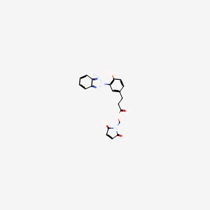 O=C(CCc1ccc(O)c(-n2nc3ccccc3n2)c1)OCN1C(=O)C=CC1=O